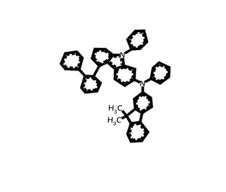 CC1(C)c2ccccc2-c2ccc(N(c3ccccc3)c3ccc4c5c(-c6ccccc6-c6ccccc6)cccc5n(-c5ccccc5)c4c3)cc21